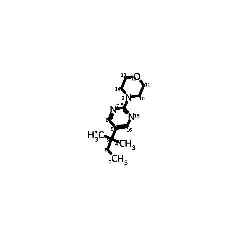 CCC(C)(C)c1cnc(N2CCOCC2)nc1